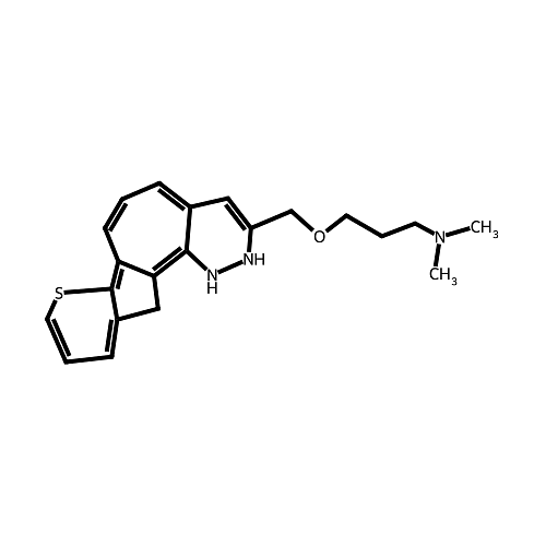 CN(C)CCCOCC1=CC2=CC=CC3=C4SC=CC=C4CC3=C2NN1